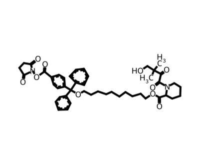 CC(C)(CO)C(=O)C(=O)N1CCCCC1C(=O)OCCCCCCCCCCOC(c1ccccc1)(c1ccccc1)c1ccc(C(=O)ON2C(=O)CCC2=O)cc1